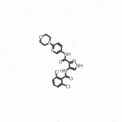 O=C(Nc1ccc(N2CCOCC2)nc1)c1n[nH]cc1NC(=O)c1c(Cl)cccc1Cl